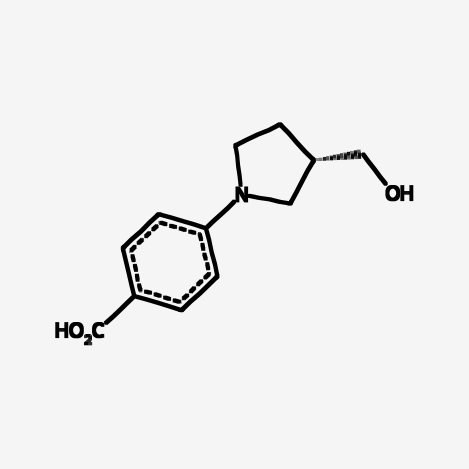 O=C(O)c1ccc(N2CC[C@H](CO)C2)cc1